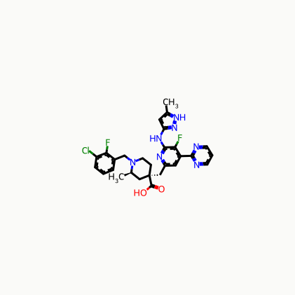 Cc1cc(Nc2nc(C[C@@]3(C(=O)O)CCN(Cc4cccc(Cl)c4F)[C@H](C)C3)cc(-c3ncccn3)c2F)n[nH]1